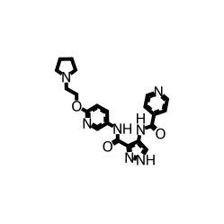 O=C(Nc1c[nH]nc1C(=O)Nc1ccc(OCCN2CCCC2)nc1)c1ccncc1